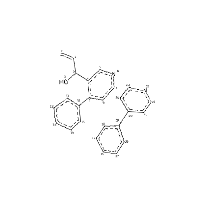 C=CC(O)c1cnccc1-c1ccccc1.c1ccc(-c2ccncc2)cc1